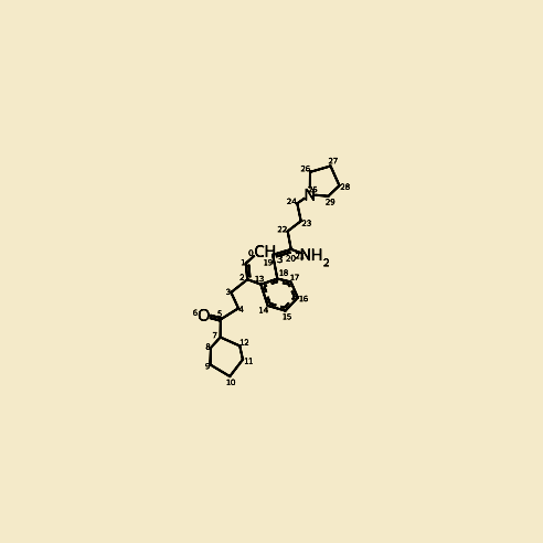 C/C=C(/CCC(=O)C1CCCCC1)c1ccccc1/C=C(\N)CCCN1CCCC1